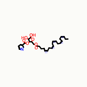 CC/C=C\C/C=C\C/C=C\C/C=C\C/C=C\CCCC(=O)OCC1OC(O)C(O)C1OC(=O)c1cccnc1